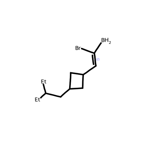 B/C(Br)=C/C1CC(CC(CC)CC)C1